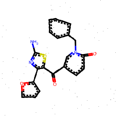 Nc1nc(-c2ccco2)c(C(=O)c2ccc(=O)n(Cc3ccccc3)c2)s1